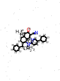 C=C(C1=C(N(C)c2ccc(-c3ccccc3)cn2)[C@]2(C)C=C(C#N)C(=O)[C@H](C)[C@H]2CC1)c1ccccc1